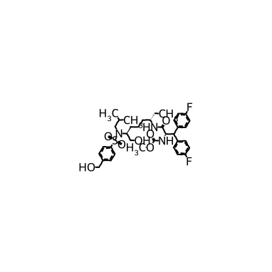 CC[C@@H](CCC[C@@H](CO)N(CC(C)C)S(=O)(=O)c1ccc(CO)cc1)NC(=O)[C@@H](NC(=O)OC)C(c1ccc(F)cc1)c1ccc(F)cc1